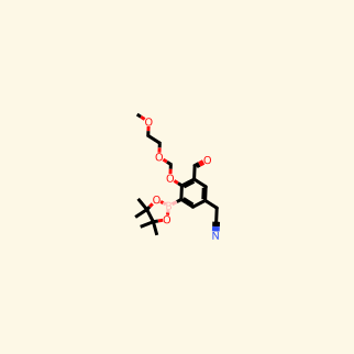 COCCOCOc1c(C=O)cc(CC#N)cc1B1OC(C)(C)C(C)(C)O1